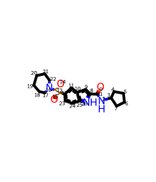 O=C(NC1CCCC1)c1cc2cc(S(=O)(=O)N3CCCCCC3)ccc2[nH]1